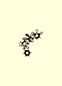 C#C[C@@]1(O)[C@H](O)[C@@H](CO[P@@](=O)(N[C@@H](C)C(=O)OC)Oc2ccccc2)O[C@H]1n1ccc(=O)[nH]c1=O